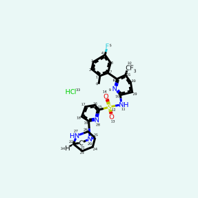 Cc1ccc(F)cc1-c1nc(NS(=O)(=O)c2cccc(N3C[C@@H]4CCC3CN4)n2)ccc1C(F)(F)F.Cl